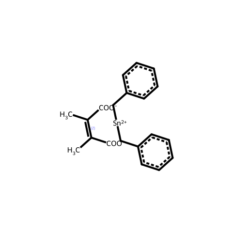 C/C(C(=O)[O-])=C(\C)C(=O)[O-].c1ccc([CH2][Sn+2][CH2]c2ccccc2)cc1